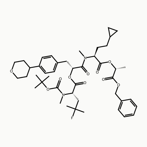 C[C@@H](OC(=O)[C@H](CCC1CC1)N(C)C(=O)[C@@H](Cc1ccc(C2CCOCC2)cc1)OC(=O)[C@H](CC(C)(C)F)N(C)C(=O)OC(C)(C)C)C(=O)OCc1ccccc1